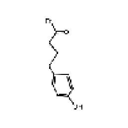 CCC(=O)CCCc1ccc(O)cc1